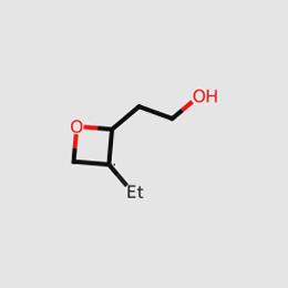 CC[C]1COC1CCO